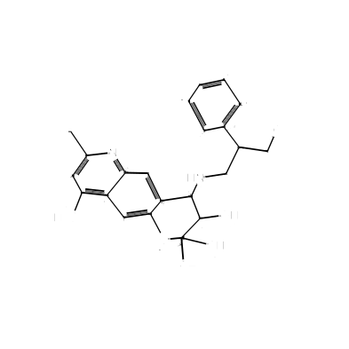 CCC(CNC1c2cc3nc(Cl)cc(C)c3cc2OC(C)(C)C1O)c1ccccc1